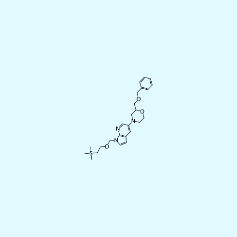 CS(C)(C)CCOCn1ccc2cc(N3CCOC(COCc4ccccc4)C3)cnc21